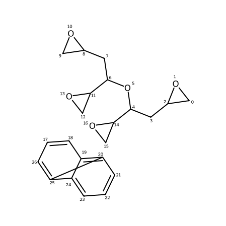 C1OC1CC(OC(CC1CO1)C1CO1)C1CO1.c1cc2c3cccc2c3c1